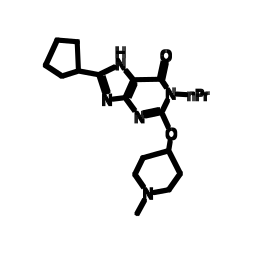 CCCn1c(OC2CCN(C)CC2)nc2nc(C3CCCC3)[nH]c2c1=O